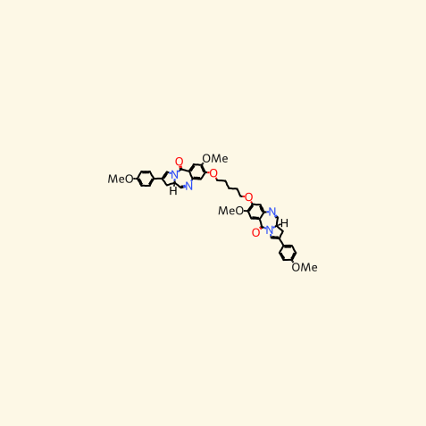 COc1ccc(C2=CN3C(=O)c4cc(OC)c(OCCCCCOc5cc6c(cc5OC)C(=O)N5C=C(c7ccc(OC)cc7)C[C@H]5C=N6)cc4N=C[C@@H]3C2)cc1